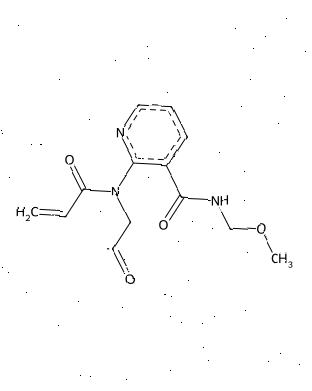 C=CC(=O)N(C[C]=O)c1ncccc1C(=O)NCOC